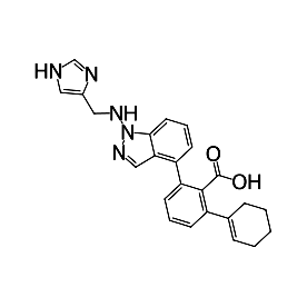 O=C(O)c1c(C2=CCCCC2)cccc1-c1cccc2c1cnn2NCc1c[nH]cn1